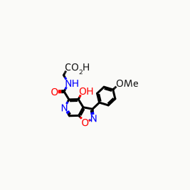 COc1ccc(-c2noc3cnc(C(=O)NCC(=O)O)c(O)c23)cc1